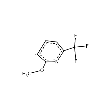 COc1[c]ccc(C(F)(F)F)n1